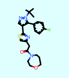 CC(C)(C)n1ncc(-c2nc(CC(=O)N3CCCOCC3)cs2)c1-c1ccc(F)cc1